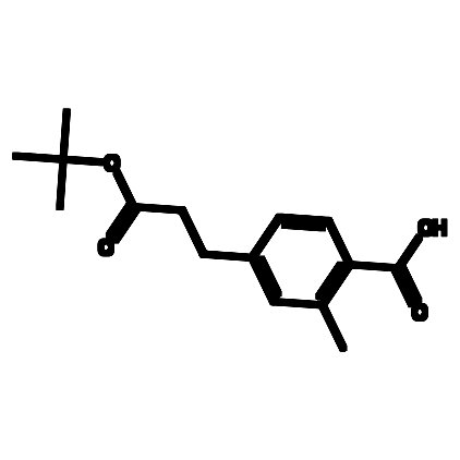 Cc1cc(CCC(=O)OC(C)(C)C)ccc1C(=O)O